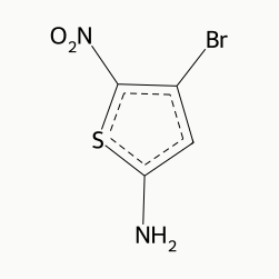 Nc1cc(Br)c([N+](=O)[O-])s1